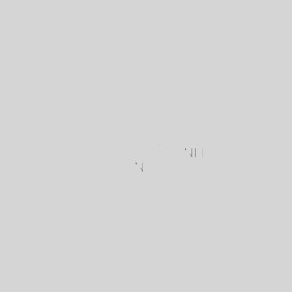 C=C1CC=C(C)C(=N)N1C